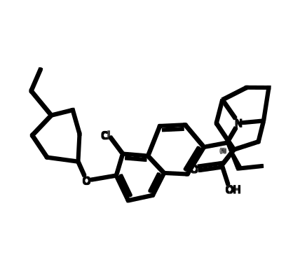 CCC1CCC(Oc2ccc3cc([C@H](CC)N4C5CCC4CC(C(=O)O)C5)ccc3c2Cl)CC1